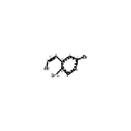 Br/C=C\c1cc(Br)ccc1Br